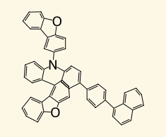 c1ccc(N(c2ccc(-c3ccc(-c4cccc5ccccc45)cc3)cc2)c2ccc3oc4ccccc4c3c2)c(-c2cccc3oc4ccccc4c23)c1